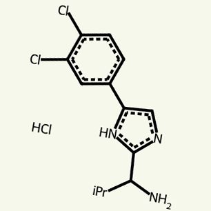 CC(C)C(N)c1ncc(-c2ccc(Cl)c(Cl)c2)[nH]1.Cl